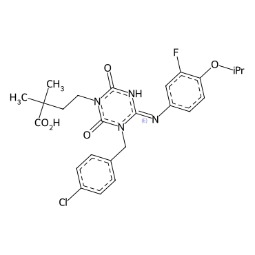 CC(C)Oc1ccc(/N=c2\[nH]c(=O)n(CCC(C)(C)C(=O)O)c(=O)n2Cc2ccc(Cl)cc2)cc1F